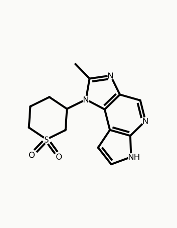 Cc1nc2cnc3[nH]ccc3c2n1C1CCCS(=O)(=O)C1